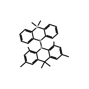 Cc1cc(C)c2c(c1)C(C)(C)c1cc(C)cc(C)c1N2B1c2ccccc2[Si](C)(C)c2ccccc21